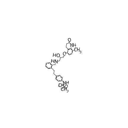 Cc1ccc(OCC(O)CNCc2ccccc2CCc2ccc(NS(C)(=O)=O)cc2)c2c1NC(=O)CC2